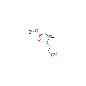 CCOC(=O)C[C@@H](C)CCCO